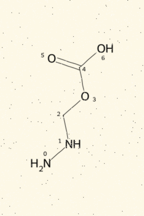 NNCOC(=O)O